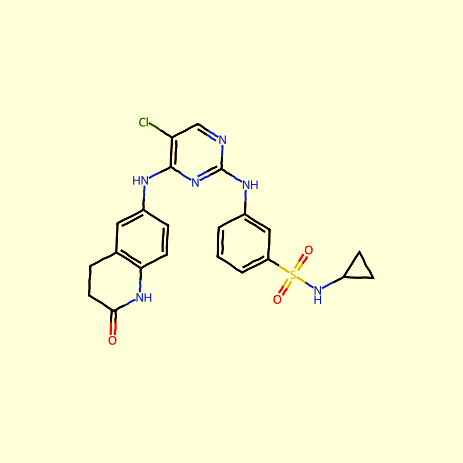 O=C1CCc2cc(Nc3nc(Nc4cccc(S(=O)(=O)NC5CC5)c4)ncc3Cl)ccc2N1